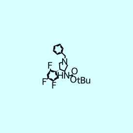 CC(C)(C)OC(=O)N[C@@H]1CN(Cc2ccccc2)C[C@H]1c1cc(F)c(F)cc1F